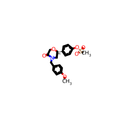 COc1ccc(CN2C[C@@H](c3ccc(OS(C)(=O)=O)cc3)OCC2=O)cc1